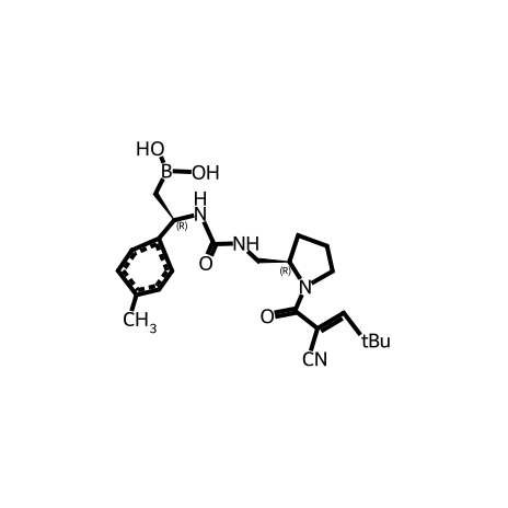 Cc1ccc([C@@H](CB(O)O)NC(=O)NC[C@H]2CCCN2C(=O)C(C#N)=CC(C)(C)C)cc1